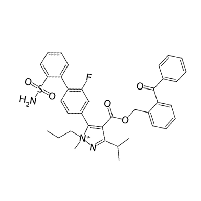 CCC[N+]1(C)N=C(C(C)C)C(C(=O)OCc2ccccc2C(=O)c2ccccc2)=C1c1ccc(-c2ccccc2S(N)(=O)=O)c(F)c1